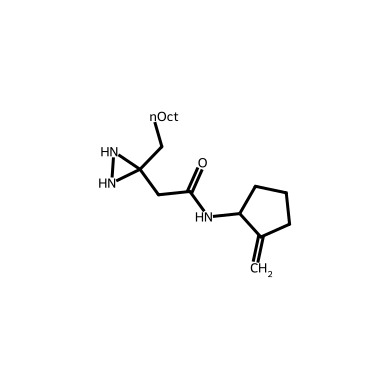 C=C1CCCC1NC(=O)CC1(CCCCCCCCC)NN1